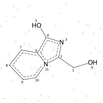 OCc1nc(O)c2ccccn12